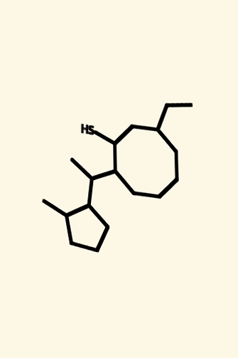 CCC1CCCCC(C(C)C2CCCC2C)C(S)C1